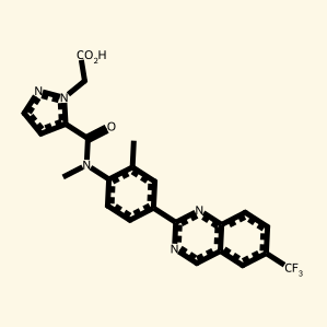 Cc1cc(-c2ncc3cc(C(F)(F)F)ccc3n2)ccc1N(C)C(=O)c1ccnn1CC(=O)O